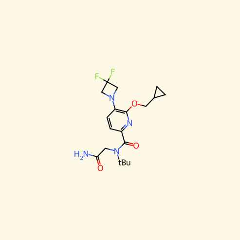 CC(C)(C)N(CC(N)=O)C(=O)c1ccc(N2CC(F)(F)C2)c(OCC2CC2)n1